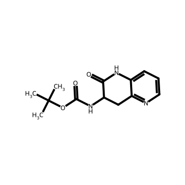 CC(C)(C)OC(=O)NC1Cc2ncccc2NC1=O